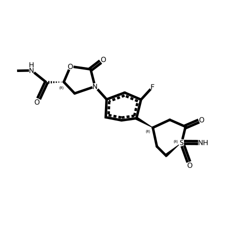 CNC(=O)[C@H]1CN(c2ccc([C@@H]3CC[S@@](=N)(=O)C(=O)C3)c(F)c2)C(=O)O1